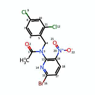 CC(=O)N(Cc1ccc(Cl)cc1Cl)c1nc(Br)ccc1[N+](=O)[O-]